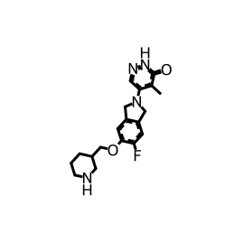 Cc1c(N2Cc3cc(F)c(OCC4CCCNC4)cc3C2)cn[nH]c1=O